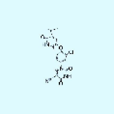 CC(C)c1cc(Oc2ccc(-n3nc(C#N)c(=O)[nH]c3=O)cc2Cl)n[nH]c1=O